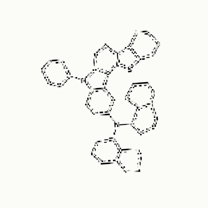 c1ccc(-n2c3ccc(N(c4cccc5ccccc45)c4cccc5ccccc45)cc3c3c4sc5ccccc5c4ccc32)cc1